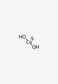 [OH][Co][OH].[S]